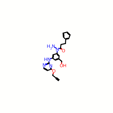 C#CCOc1ccnc(Nc2cc(CO)cc(N(N)C(=O)CCc3ccccc3)c2)n1